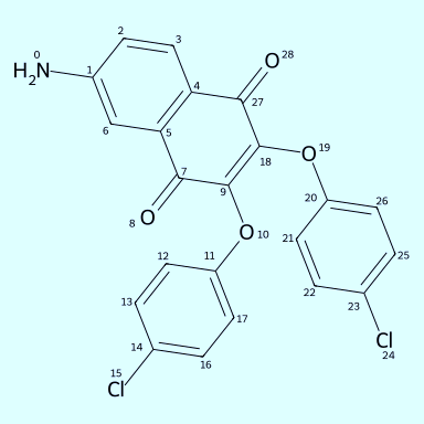 Nc1ccc2c(c1)C(=O)C(Oc1ccc(Cl)cc1)=C(Oc1ccc(Cl)cc1)C2=O